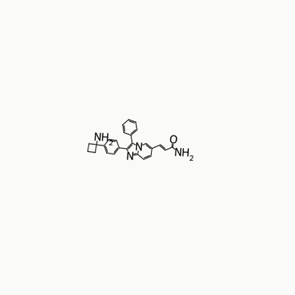 NC(=O)C=Cc1ccc2nc(-c3ccc(C4(N)CCC4)cc3)c(-c3ccccc3)n2c1